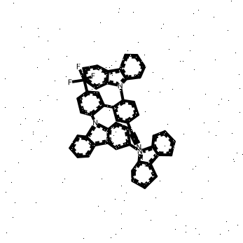 N#Cc1ccc(-n2c3ccccc3c3ccccc32)c(-c2cc(C(F)(F)F)ccc2-n2c3ccccc3c3cc(-n4c5ccccc5c5ccccc54)ccc32)c1